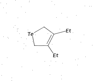 CCC1=C(CC)C[Te]C1